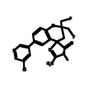 CN1C(=O)C2(CC(CF)(CF)Oc3ccc(-c4cncc(Cl)c4)cc32)N=C1N